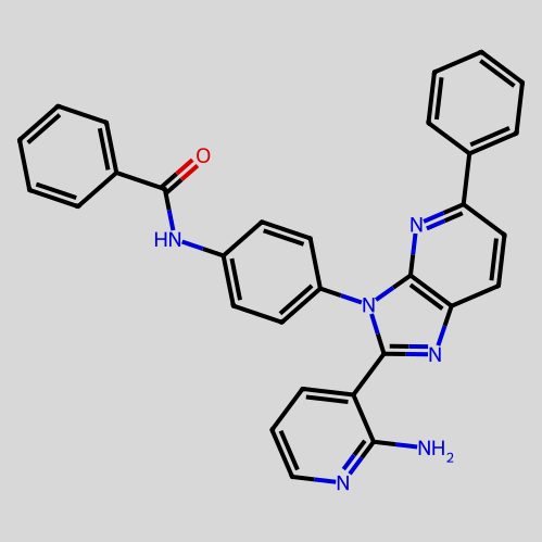 Nc1ncccc1-c1nc2ccc(-c3ccccc3)nc2n1-c1ccc(NC(=O)c2ccccc2)cc1